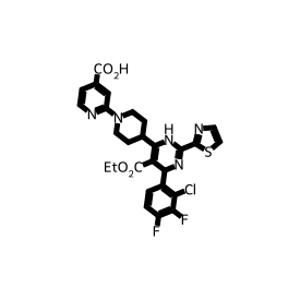 CCOC(=O)C1=C(C2CCN(c3cc(C(=O)O)ccn3)CC2)NC(c2nccs2)=NC1c1ccc(F)c(F)c1Cl